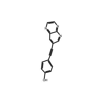 Oc1ccc(C#Cc2cnc3nccnc3c2)cc1